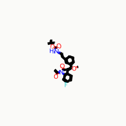 COC(=C1C(=O)N(C(C)=O)c2cc(F)ccc21)c1cccc(CCNC(=O)OC(C)(C)C)c1